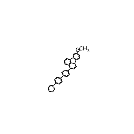 COc1ccc2c(c1)-c1cccc3c(-c4ccc(-c5ccc(-c6ccccc6)cc5)cc4)ccc-2c13